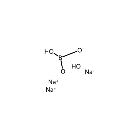 [Na+].[Na+].[Na+].[O-]B([O-])O.[OH-]